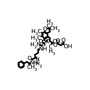 Cc1c(C)c(S(=O)(=O)/N=C(\N)NCCC[C@H](N)C(=O)N[C@@H](C)Cc2ccccc2)c(CCC(C)(C)OC(=O)CC(=O)O)c2c1OC(C)(C)C2